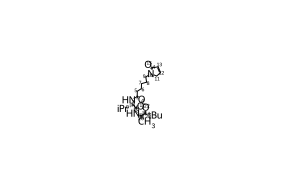 CC(C)[C@H](NC(=O)CCCCCN1CC=CC1=O)C(=O)N[C@@H](C)C(=O)C(C)(C)C